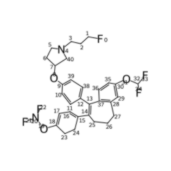 FCCCN1CCC(Oc2ccc(C3=C(C4=CC=C(ON(F)F)CC4)CCCc4cc(OC(F)F)ccc43)cc2)C1